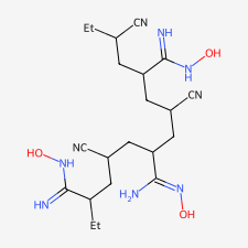 CCC(C#N)CC(CC(C#N)CC(CC(C#N)CC(CC)C(=N)NO)/C(N)=N/O)C(=N)NO